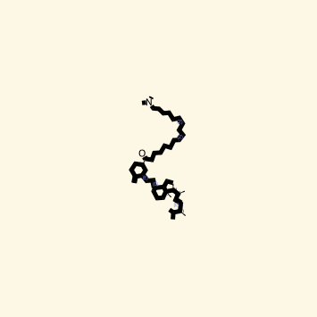 C=C1CC[C@H](C(=O)CCCCCC/C=C\C/C=C\CCCCCN(C)C)C/C1=C\C=C1/CCC[C@@]2(C)C1CC[C@@H]2[C@H](C)/C=C/[C@H](C)C(C)C